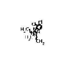 C=CCN1c2nc3ccc(Cl)c(Cl)c3nc2N(CC=C)C1C